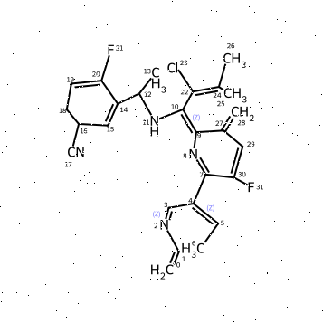 C=C/N=C\C(=C/C)c1n/c(=C(\NC(C)C2=CC(C#N)CC=C2F)C(Cl)=C(C)C)c(=C)cc1F